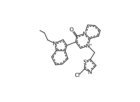 CCCn1cc(-c2c[n+](Cc3cnc(Cl)s3)c3ccccn3c2=O)c2ccccc21